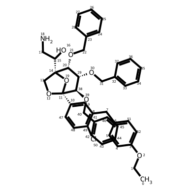 CCOc1ccc(Cc2cc([C@]34OC[C@](C(O)CN)(O3)[C@H](OCc3ccccc3)[C@H](OCc3ccccc3)[C@H]4OCc3ccccc3)ccc2Cl)cc1